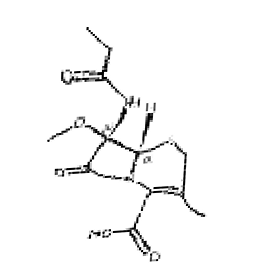 CCC(=O)N[C@]1(OC)C(=O)N2C(C(=O)O)=C(C)CS[C@H]21